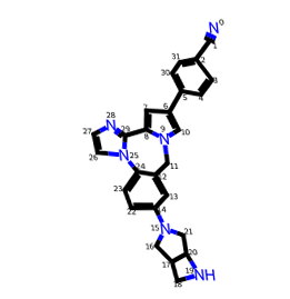 N#Cc1ccc(-c2cc3n(c2)Cc2cc(N4CC5CNC5C4)ccc2-n2ccnc2-3)cc1